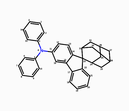 c1ccc(N(c2ccccc2)c2ccc3c(c2)-c2ccccc2C32C3CC4CC(C3)CC2C4)cc1